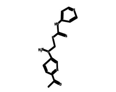 CC(=O)c1ccc(N(N)CSC(=S)Nc2ccncc2)cn1